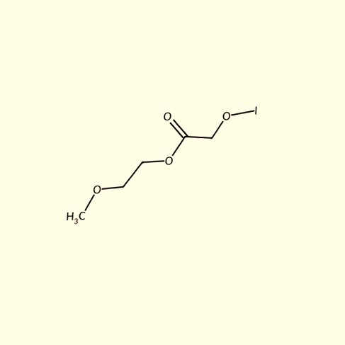 COCCOC(=O)COI